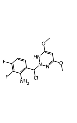 COC1=CC(OC)=NN(C(Cl)c2ccc(F)c(F)c2N)N1